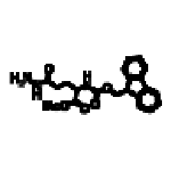 COC(=O)C(CCC(=O)NN)NC(=O)OCC1c2ccccc2-c2ccccc21